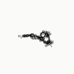 COc1cc2c(cc1OCCCOc1cc3c(cc1OC)C(=O)N1C=C(c4ccc(NC(=O)[C@H](C)NC(=O)[C@@H](NC(=O)CCCCCN5C(=O)CC(SC(C)(C)CC6CCCCCCCCCCCCC(C)C6)C5=O)C(C)C)cc4)C[C@H]1C=N3)N=CC1CC(c3ccc(N4CCN(C)CC4)cc3)=CN1C2=O